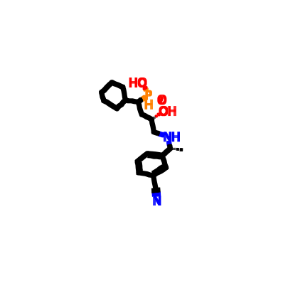 C[C@@H](NC[C@@H](O)CC(C1CCCCC1)[PH](=O)O)c1cccc(C#N)c1